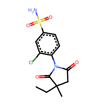 CCC1(C)CC(=O)N(c2ccc(S(N)(=O)=O)cc2Cl)C1=O